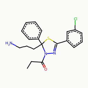 CCC(=O)N1N=C(c2cccc(Cl)c2)SC1(CCCN)c1ccccc1